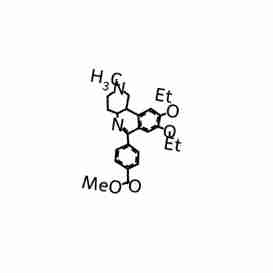 CCOc1cc2c(cc1OCC)C1CN(C)CCC1N=C2c1ccc(C(=O)OC)cc1